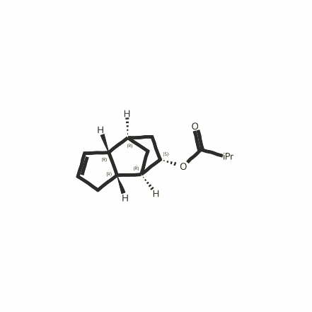 CC(C)C(=O)O[C@H]1C[C@H]2C[C@@H]1[C@@H]1CC=C[C@H]21